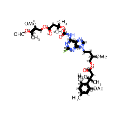 CO/C(COC(=O)CC(C)(C)OC(=O)Nc1nc(F)nc2c1ncn2CCC(COC(=O)CC(C)(C)c1c(C)cc(C)cc1OC(C)=O)OC)=C(/C)OC=O